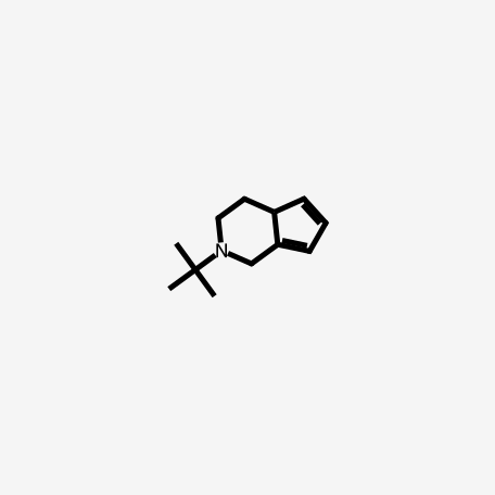 CC(C)(C)N1CCC2C=CC=C2C1